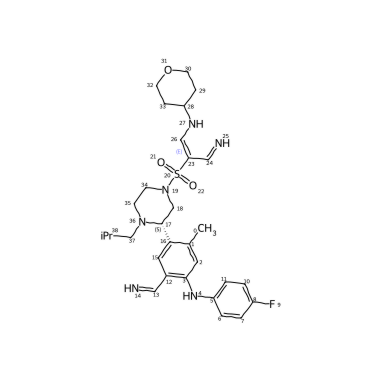 Cc1cc(Nc2ccc(F)cc2)c(C=N)cc1[C@H]1CN(S(=O)(=O)/C(C=N)=C/NC2CCOCC2)CCN1CC(C)C